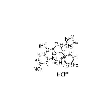 CC(C)Oc1ccc(C#N)cc1N(C)C1CCC(c2nccs2)C1c1ccc(F)cc1.Cl